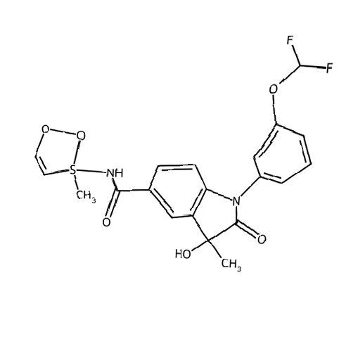 CC1(O)C(=O)N(c2cccc(OC(F)F)c2)c2ccc(C(=O)NS3(C)C=COO3)cc21